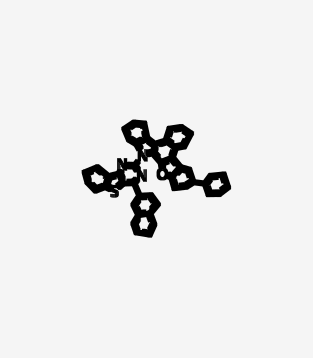 c1ccc(-c2ccc3oc4c(c3c2)c2ccccc2c2c3ccccc3n(-c3nc(-c5ccc6ccccc6c5)c5sc6ccccc6c5n3)c42)cc1